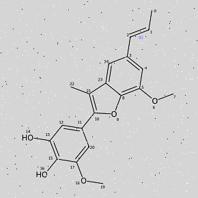 C/C=C/c1cc(OC)c2oc(-c3cc(O)c(O)c(OC)c3)c(C)c2c1